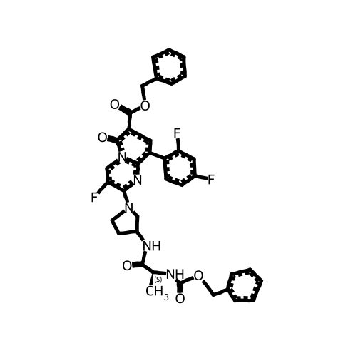 C[C@H](NC(=O)OCc1ccccc1)C(=O)NC1CCN(c2nc3c(-c4ccc(F)cc4F)cc(C(=O)OCc4ccccc4)c(=O)n3cc2F)C1